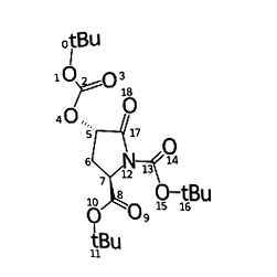 CC(C)(C)OC(=O)O[C@H]1C[C@H](C(=O)OC(C)(C)C)N(C(=O)OC(C)(C)C)C1=O